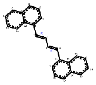 C(/C=C/c1cccc2ccccc12)=C\c1cccc2ccccc12